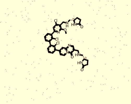 COc1nc(-c2cccc(-c3cccc(-c4ccn5c(=O)c(CNC[C@@H]6CCC(=O)N6)cnc5c4)c3Cl)c2Cl)cc(Cl)c1CNC[C@@H]1CCC(=O)N1